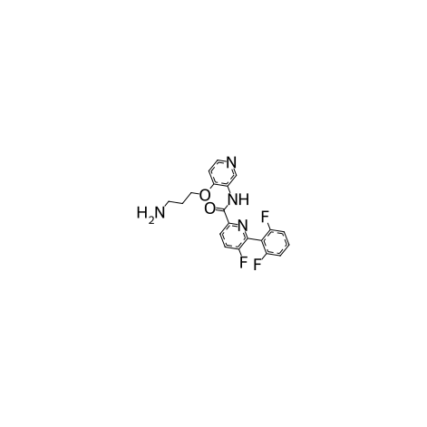 NCCCOc1ccncc1NC(=O)c1ccc(F)c(-c2c(F)cccc2F)n1